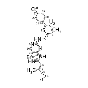 C=C(S/C(=C\C)CNc1ncc(Br)c(NC(=N)/C=C(\C)C2CC2)n1)c1ccc(Cl)cc1